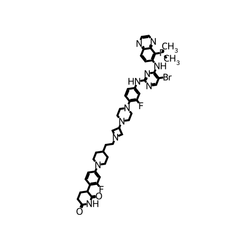 CP(C)c1c(Nc2nc(Nc3ccc(N4CCN(C5CN(CCC6CCN(c7ccc(C8CCC(=O)NC8=O)c(F)c7)CC6)C5)CC4)c(F)c3)ncc2Br)ccc2nccnc12